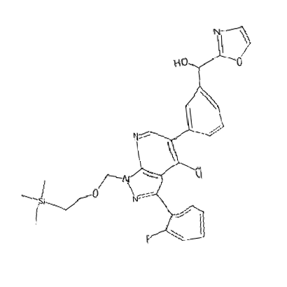 C[Si](C)(C)CCOCn1nc(-c2ccccc2F)c2c(Cl)c(-c3cccc(C(O)c4ncco4)c3)cnc21